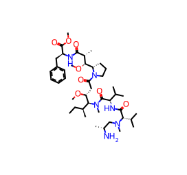 CC[C@H](C)[C@@H]([C@@H](CC(=O)N1CCC[C@H]1[C@H](OC)[C@@H](C)C(=O)N[C@@H](Cc1ccccc1)C(=O)OC)OC)N(C)C(=O)[C@@H](NC(=O)[C@H](C(C)C)N(C)C[C@@H](C)N)C(C)C